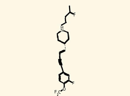 CC(F)CCC[Si@H]1CC[C@H](C=CC#Cc2ccc(OC(F)(F)F)c(F)c2)CC1